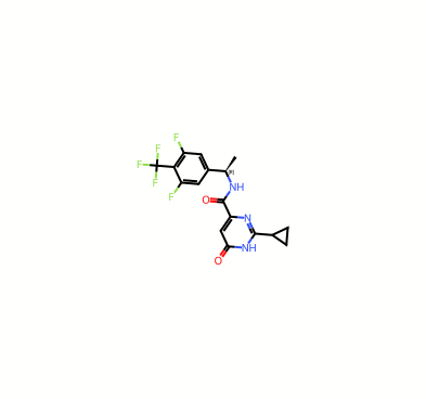 C[C@@H](NC(=O)c1cc(=O)[nH]c(C2CC2)n1)c1cc(F)c(C(F)(F)F)c(F)c1